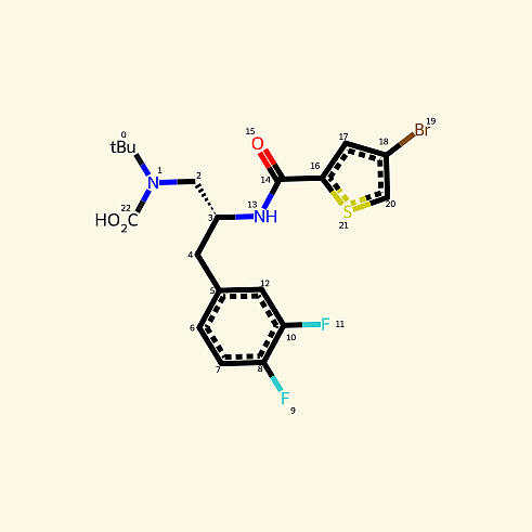 CC(C)(C)N(C[C@@H](Cc1ccc(F)c(F)c1)NC(=O)c1cc(Br)cs1)C(=O)O